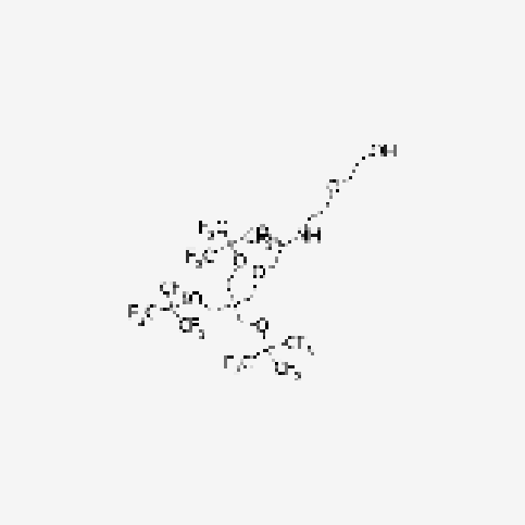 O=C(COCC(COC(C(F)(F)F)(C(F)(F)F)C(F)(F)F)(COC(C(F)(F)F)(C(F)(F)F)C(F)(F)F)COC(C(F)(F)F)(C(F)(F)F)C(F)(F)F)NCCOCCO